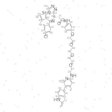 C=C1Cc2cc(-c3c(C)cc(NCCOCCOCCOCCOc4ccc(NC(=O)C[C@@H]5N=C(c6ccc(Cl)cc6)c6c(sc(C)c6C)-n6c(C)nnc65)cc4)nc3C)ccc2N1